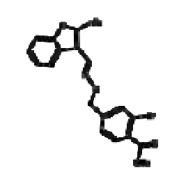 CCCCc1oc2ccccc2c1C=NOCc1ccc(C(=O)OC)c(Br)c1